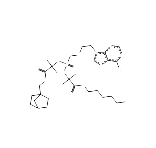 CCCCCCOC(=O)C(C)(C)NP(=O)(CO[C@H](C)Cn1cnc2c(N)ncnc21)NC(C)(C)C(=O)OCC12CCC(CC1)C2